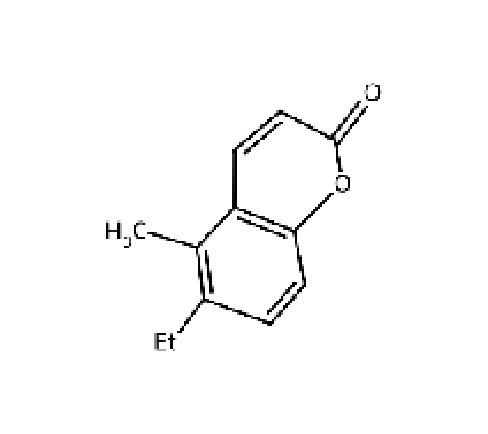 CCc1ccc2oc(=O)ccc2c1C